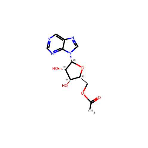 CC(=O)OC[C@H]1O[C@@H](n2cnc3cncnc32)[C@@H](O)[C@H]1O